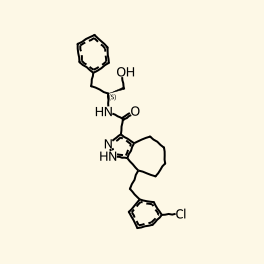 O=C(N[C@H](CO)Cc1ccccc1)c1n[nH]c2c1CCCCC2Cc1cccc(Cl)c1